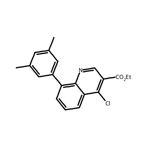 CCOC(=O)c1cnc2c(-c3cc(C)cc(C)c3)cccc2c1Cl